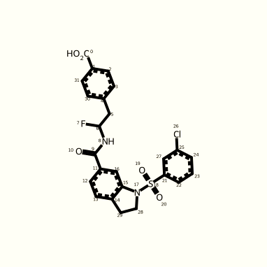 O=C(O)c1ccc(CC(F)NC(=O)c2ccc3c(c2)N(S(=O)(=O)c2cccc(Cl)c2)CC3)cc1